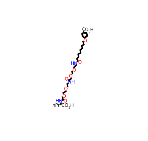 CCCC(NC(=O)COCCOCCNC(=O)COCCOCCNC(=O)CCCCCCCCCOc1ccc(C(=O)O)cc1)C(=O)O